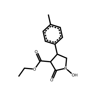 CCOC(=O)C1C(=O)N(O)CC1c1ccc(C)cc1